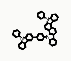 c1ccc(-n2c3ccccc3c3cc(-c4ccc(-n5c6ccccc6c6ccc7c(ccc8c7c7ccccc7n8-c7ccccc7)c65)cc4)ccc32)cc1